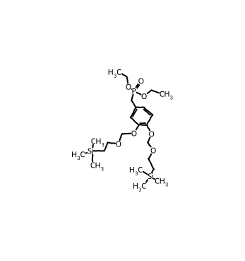 CCOP(=O)(Cc1ccc(OCOCC[Si](C)(C)C)c(OCOCC[Si](C)(C)C)c1)OCC